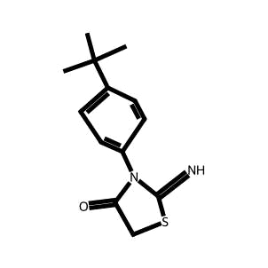 CC(C)(C)c1ccc(N2C(=N)SCC2=O)cc1